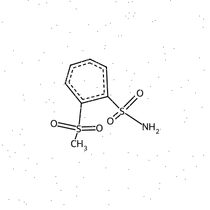 CS(=O)(=O)c1ccccc1S(N)(=O)=O